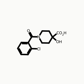 O=C(c1ccccc1Cl)N1CCC(O)(C(=O)O)CC1